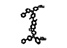 Cc1cc(N(c2ccc(C(C)(C)C)cc2)c2cccc(-c3ccccc3)c2)ccc1-c1cc2cc3oc4cc(N(c5ccc(-c6ccccc6)cc5)c5cccc(C(C)(C)C)c5)ccc4c3cc2cc1C